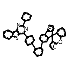 c1ccc(-c2nc(-c3ccc(-c4ccccc4-c4ccc5c(c4)C4(c6ccccc6Oc6ccccc64)c4ccccc4-5)cc3)c3sc4ccccc4c3n2)cc1